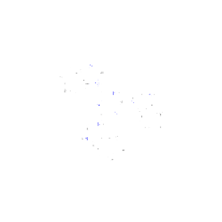 c1ccc2c(c1)ncn2-c1nc(-n2cnc3ccccc32)nc(-n2cnc3ccccc32)n1